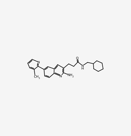 Cc1cccnc1-c1ccc2nc(N)c(CCC(=O)NCC3CCCCC3)cc2c1